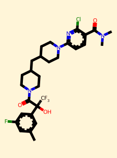 Cc1cc(F)cc(C(O)(C(=O)N2CCC(CC3CCN(c4ccc(C(=O)N(C)C)c(Cl)n4)CC3)CC2)C(F)(F)F)c1